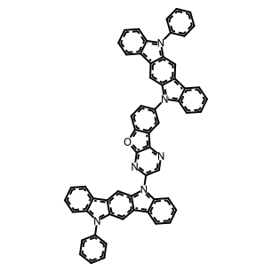 c1ccc(-n2c3ccccc3c3cc4c(cc32)c2ccccc2n4-c2ccc3oc4nc(-n5c6ccccc6c6cc7c(cc65)c5ccccc5n7-c5ccccc5)cnc4c3c2)cc1